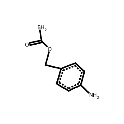 BC(=O)OCc1ccc(N)cc1